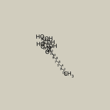 CCCCCCCCCCCCCC(=O)N(O)[C@@H](C=O)[C@@H](O)[C@H](O)[C@H](O)CO